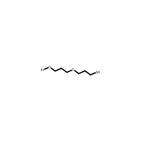 CCOCCCOCCCS